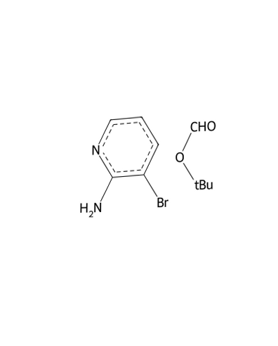 CC(C)(C)OC=O.Nc1ncccc1Br